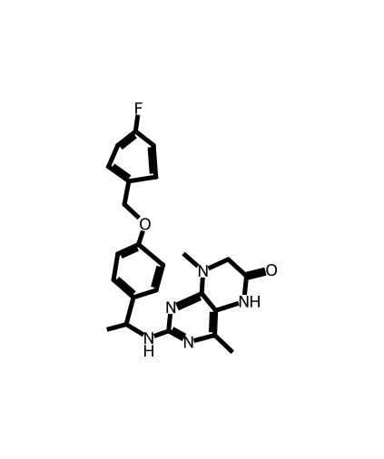 Cc1nc(NC(C)c2ccc(OCc3ccc(F)cc3)cc2)nc2c1NC(=O)CN2C